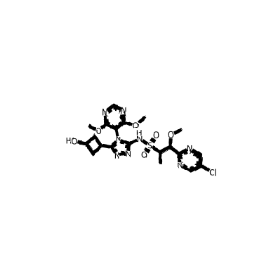 COc1ncnc(OC)c1-n1c(NS(=O)(=O)C(C)C(OC)c2ncc(Cl)cn2)nnc1C1CC(O)C1